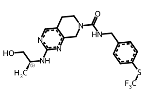 C[C@@H](CO)Nc1ncc2c(n1)CN(C(=O)NCc1ccc(SC(F)(F)F)cc1)CC2